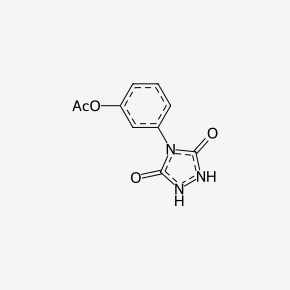 CC(=O)Oc1cccc(-n2c(=O)[nH][nH]c2=O)c1